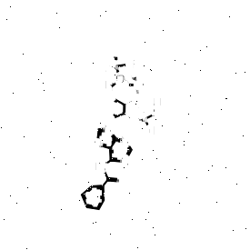 CC(C)(C)[Si](C)(C)OC[C@H]1O[C@@H](n2cnc3c(NC(=O)c4ccccc4)ncnc32)[C@H](O[Si](C)(C)C(C)(C)C)[C@@H]1O[Si](C)(C)C(C)(C)C